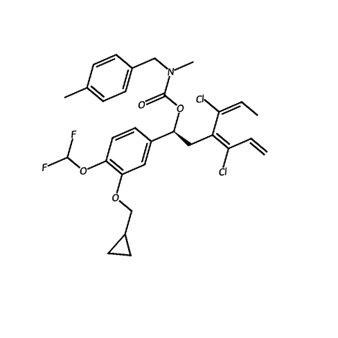 C=C/C(Cl)=C(C[C@H](OC(=O)N(C)Cc1ccc(C)cc1)c1ccc(OC(F)F)c(OCC2CC2)c1)\C(Cl)=C/C